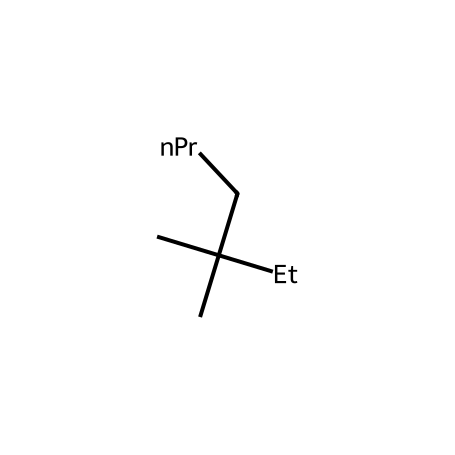 C[CH]CCC(C)(C)CC